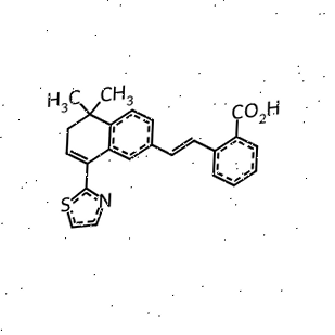 CC1(C)CC=C(c2nccs2)c2cc(/C=C/c3ccccc3C(=O)O)ccc21